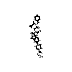 CC(C1CC1)N(Cc1ccccc1)C(=O)CN1C(=O)O[C@]2(CCc3cc(N4CCN(C(=O)OC(C)(C)C)CC4)ccc32)C1=O